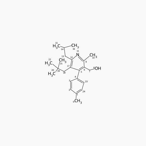 Cc1ccc(-c2c(CO)c(C)nc(CC(C)C)c2CC(C)(C)C)cc1